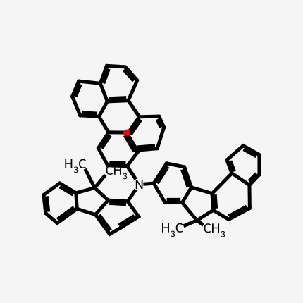 CC1(C)c2cc(N(c3ccc(-c4cccc5cccc(-c6ccccc6)c45)cc3)c3cccc4c3C(C)(C)c3ccccc3-4)ccc2-c2c1ccc1ccccc21